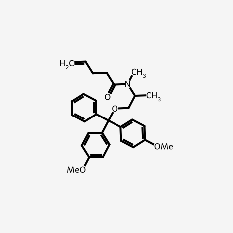 C=CCCC(=O)N(C)C(C)COC(c1ccccc1)(c1ccc(OC)cc1)c1ccc(OC)cc1